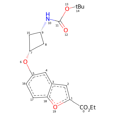 CCOC(=O)c1cc2cc(O[C@H]3C[C@@H](NC(=O)OC(C)(C)C)C3)ccc2o1